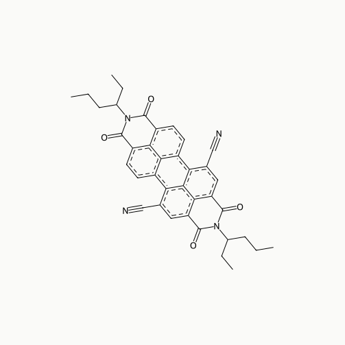 CCCC(CC)N1C(=O)c2ccc3c4c(C#N)cc5c6c(cc(C#N)c(c7ccc(c2c37)C1=O)c64)C(=O)N(C(CC)CCC)C5=O